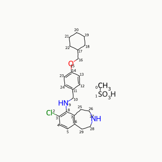 CS(=O)(=O)O.Clc1ccc2c(c1NCc1ccc(OCC3CCCCC3)cc1)CCNCC2